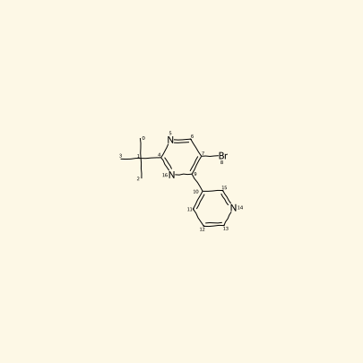 CC(C)(C)c1ncc(Br)c(-c2cccnc2)n1